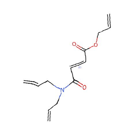 C=CCOC(=O)/C=C/C(=O)N(CC=C)CC=C